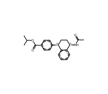 CC(=O)N[C@@H]1CC[C@H](c2ccc(C(=O)OC(C)C)cc2)c2ccccc21